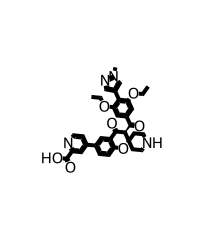 CCOc1cc(C(=O)[C@@H]2C(=O)c3cc(-c4ccnc(C(=O)O)c4)ccc3OC23CCNCC3)cc(OCC)c1-c1cnn(C)c1